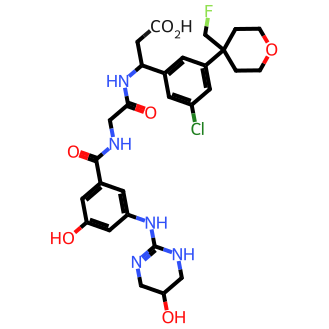 O=C(O)CC(NC(=O)CNC(=O)c1cc(O)cc(NC2=NCC(O)CN2)c1)c1cc(Cl)cc(C2(CF)CCOCC2)c1